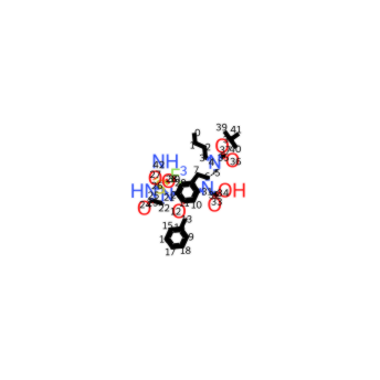 CCCCN(C[C@H]1Cc2c(cc(OCc3ccccc3)c(N3CC(=O)NS3(=O)=O)c2F)N1C(=O)O)C(=O)OC(C)(C)C.N